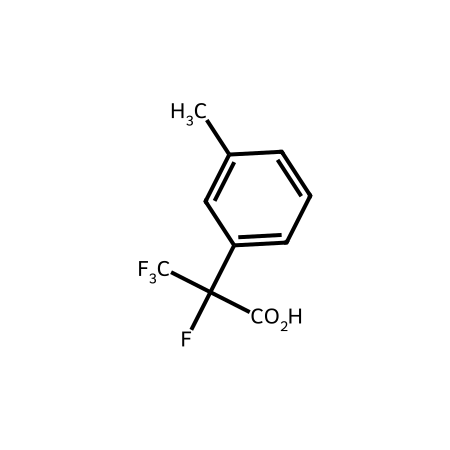 Cc1cccc(C(F)(C(=O)O)C(F)(F)F)c1